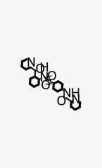 O=C(Nc1ccc(S(=O)(=O)Nc2ccccc2C(=O)c2ccccn2)cc1)c1ccccn1